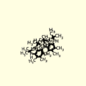 Cc1c(C)c(PC(C)(C)C)c(PC(C)(C)C)[c]([Ga][c]2c(C)c(C)c(C)c(PC(C)(C)C)c2PC(C)(C)C)c1C